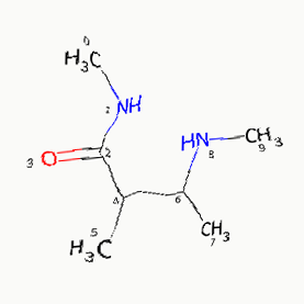 CNC(=O)C(C)C(C)NC